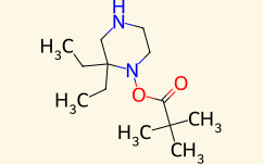 CCC1(CC)CNCCN1OC(=O)C(C)(C)C